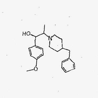 COc1ccc(C(O)C(C)N2CCC(Cc3ccccc3)CC2)cc1